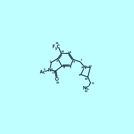 CC(=O)N1Cc2c(cc(CN3CC(CC#N)C3)cc2C(F)(F)F)C1=O